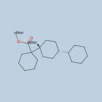 CCCCCCCCCC[C@]1(C2(C(=O)OCCCCCCCCC)CCCCC2)CC[C@@H](C2CCCCC2)CC1